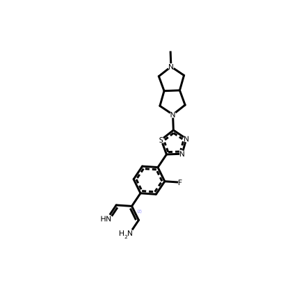 CN1CC2CN(c3nnc(-c4ccc(/C(C=N)=C/N)cc4F)s3)CC2C1